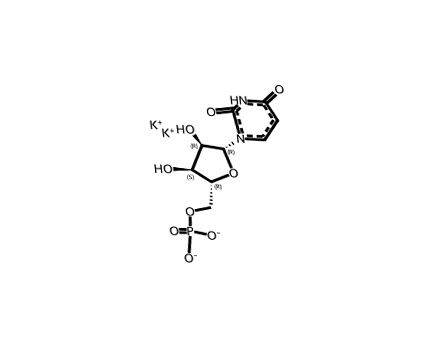 O=c1ccn([C@@H]2O[C@H](COP(=O)([O-])[O-])[C@@H](O)[C@H]2O)c(=O)[nH]1.[K+].[K+]